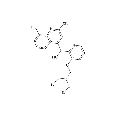 CCOC(COc1cccnc1C(O)c1cc(C(F)(F)F)nc2c(C(F)(F)F)cccc12)OCC